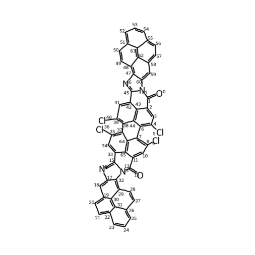 O=c1c2cc(Cl)c3c4c(Cl)cc5c(=O)n6c(nc7cc8ccc9cccc%10ccc(c8c9%10)c76)c6cc(Cl)c(c7c(Cl)cc(c2c37)c2nc3c7ccc8cccc9ccc(cc3n12)c7c98)c4c56